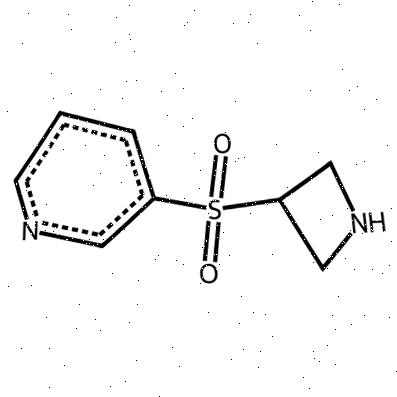 O=S(=O)(c1cccnc1)C1CNC1